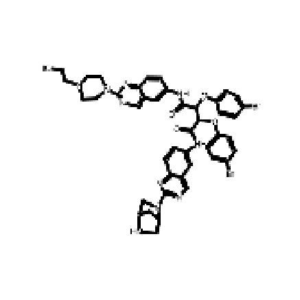 O=C(Nc1ccc2nc(N3CCN(CCO)CC3)ncc2c1)C(Oc1ccc(Br)cc1)C(Oc1ccc(Br)cc1)C(=O)Nc1ccc2nc(N3CC4CC3CN4)ncc2c1